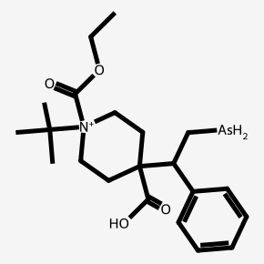 CCOC(=O)[N+]1(C(C)(C)C)CCC(C(=O)O)(C(C[AsH2])c2ccccc2)CC1